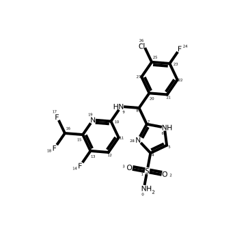 NS(=O)(=O)c1c[nH]c(C(Nc2ccc(F)c(C(F)F)n2)c2ccc(F)c(Cl)c2)n1